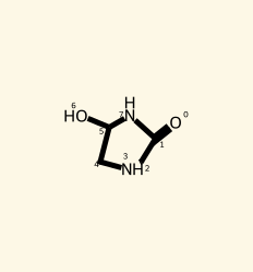 O=C1CNCC(O)N1